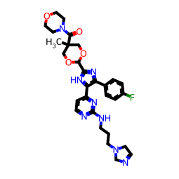 CC1(C(=O)N2CCOCC2)COC(c2nc(-c3ccc(F)cc3)c(-c3ccnc(NCCCN4CC=NC4)n3)[nH]2)OC1